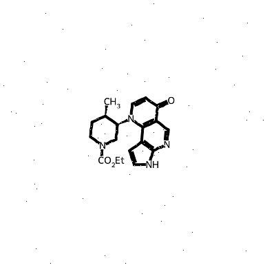 CCOC(=O)N1CC[C@@H](C)[C@@H](n2ccc(=O)c3cnc4[nH]ccc4c32)C1